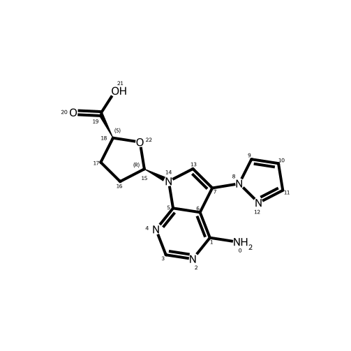 Nc1ncnc2c1c(-n1cccn1)cn2[C@H]1CC[C@@H](C(=O)O)O1